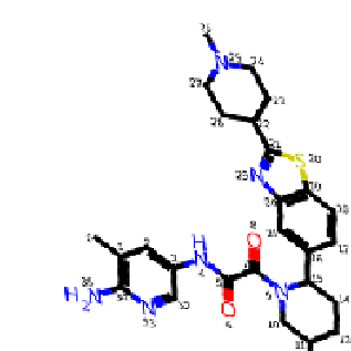 Cc1cc(NC(=O)C(=O)N2CC(C)CCC2c2ccc3sc(C4CCN(C)CC4)nc3c2)cnc1N